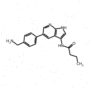 CCCC(=O)Nc1c[nH]c2ncc(-c3ccc(CN)cc3)cc12